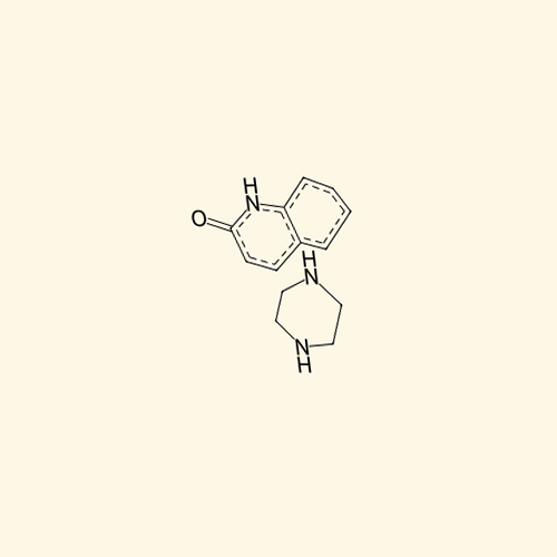 C1CNCCN1.O=c1ccc2ccccc2[nH]1